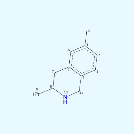 Cc1ccc2c(c1)CC(C(C)C)NC2